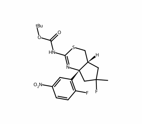 CC1(F)C[C@H]2CSC(NC(=O)OC(C)(C)C)=N[C@@]2(c2cc([N+](=O)[O-])ccc2F)C1